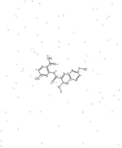 COC1Oc2ccc(CCl)cc2C=C1C(=O)Oc1cc(Cl)ccc1C(=O)O